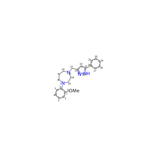 COc1ccccc1N1CCCN(Cc2cc(-c3ccccc3)[nH]n2)CC1